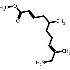 COC(=O)/C=C/CC(C)CC/C=C(\C)CN